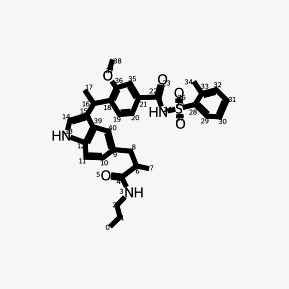 CCCNC(=O)C(C)Cc1ccc2[nH]cc(C(C)c3ccc(C(=O)NS(=O)(=O)c4ccccc4C)cc3OC)c2c1